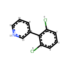 Clc1cccc(Cl)c1-c1c[c]cnc1